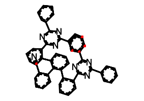 N#Cc1ccccc1-c1c(-c2ccccc2-c2nc(-c3ccccc3)nc(-c3ccccc3)n2)cccc1-c1ccccc1-c1nc(-c2ccccc2)nc(-c2ccccc2)n1